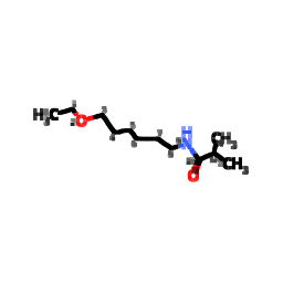 CCOCCCCCCNC(=O)C(C)C